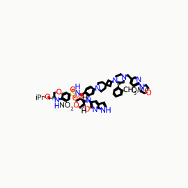 COc1cc(CN2CCN(C3CC4(CCN(c5ccc(C(=O)NS(=O)(=O)c6cc7c(c([N+](=O)[O-])c6)N[C@H](COC(C)C)CO7)c(N6c7cc8cc[nH]c8nc7O[C@H]7COCC[C@@H]76)c5)CC4)C3)[C@H](c3ccccc3C)C2)cnc1N1CCOCC1